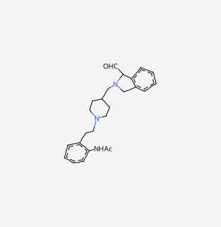 CC(=O)Nc1ccccc1CCN1CCC(CN2Cc3ccccc3C2C=O)CC1